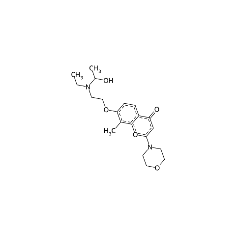 CCN(CCOc1ccc2c(=O)cc(N3CCOCC3)oc2c1C)C(C)O